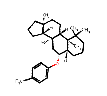 CC1(C)CCC[C@@H]2[C@H](Oc3ccc(C(F)(F)F)cc3)C[C@H]3[C@@H]4CCC[C@@]4(C)CC[C@@H]3[C@]21C